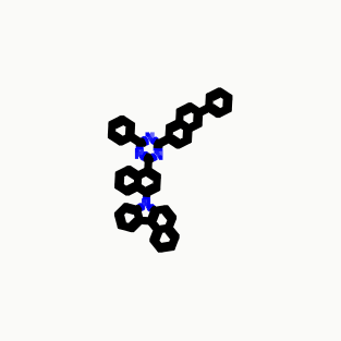 c1ccc(-c2ccc3cc(-c4nc(-c5ccccc5)nc(-c5ccc(-n6c7ccccc7c7c8ccccc8ccc76)c6ccccc56)n4)ccc3c2)cc1